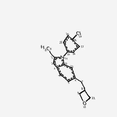 Cc1cc2ccc(CC3COC3)cc2n1-c1ccc(Cl)cc1